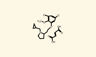 COc1c(Cl)cc(Cl)cc1OCCC1CCCN1CC1CC1.O=C(O)C=CC(=O)O